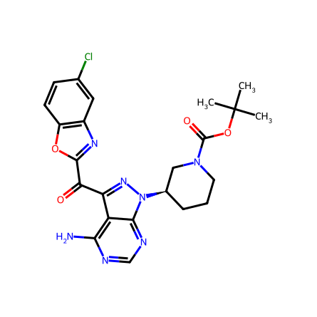 CC(C)(C)OC(=O)N1CCC[C@@H](n2nc(C(=O)c3nc4cc(Cl)ccc4o3)c3c(N)ncnc32)C1